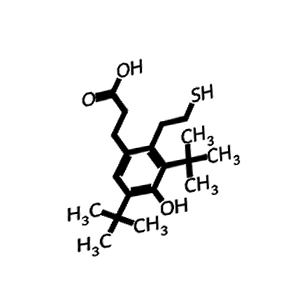 CC(C)(C)c1cc(CCC(=O)O)c(CCS)c(C(C)(C)C)c1O